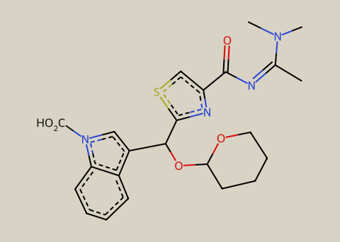 CC(=NC(=O)c1csc(C(OC2CCCCO2)c2cn(C(=O)O)c3ccccc23)n1)N(C)C